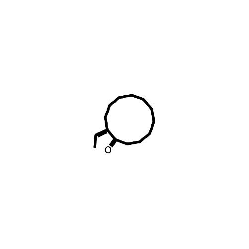 C/C=C1/CCCCCCCCCCC1=O